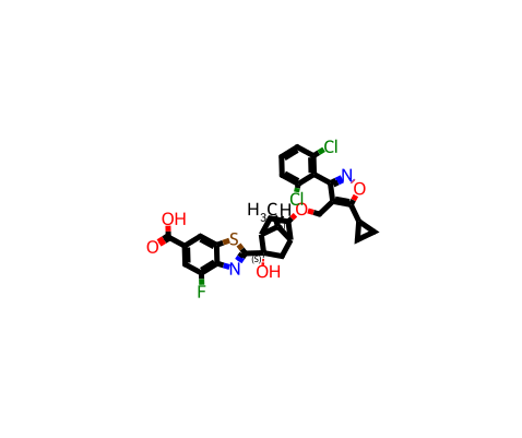 C[C@H]1C2C[C@@](O)(c3nc4c(F)cc(C(=O)O)cc4s3)C1CC2OCc1c(-c2c(Cl)cccc2Cl)noc1C1CC1